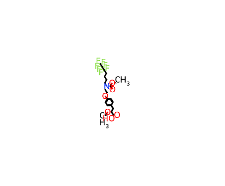 CCOC(=O)N(CCCCC(F)(F)C(F)(F)C(F)(F)F)CCOc1ccc(CC(OCC)C(=O)O)cc1